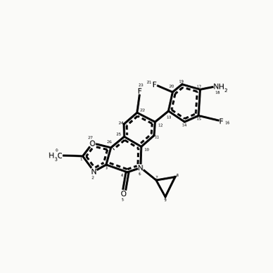 Cc1nc2c(=O)n(C3CC3)c3cc(-c4cc(F)c(N)cc4F)c(F)cc3c2o1